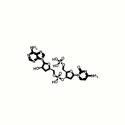 Nc1ccn([C@H]2C[C@H](OP(=O)(O)OC[C@H]3[CH][C@@H](O)C(n4cnc5c(N)ncnc54)O3)[C@@H](COP(=O)(O)O)O2)c(=O)n1